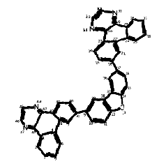 c1ccc2c(c1)c1cc(-c3ccc4oc5ccc(-c6ccc7c(c6)c6ccccc6c6nccnc76)cc5c4c3)ccc1c1nccnc21